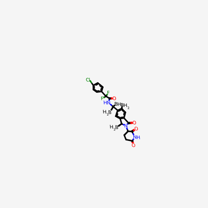 Bc1cc2c(cc1C(B)(B)NC(=O)C(F)(F)c1ccc(Cl)cc1)C(B)N(C1CCC(=O)NC1=O)C2=O